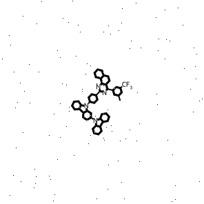 Cc1cc(-c2nc(-c3ccc(-n4c5ccccc5c5ccc(-n6c7ccccc7c7ccccc76)cc54)cc3)nc3c2ccc2ccccc23)cc(C(F)(F)F)c1